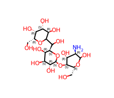 N[C@H]1C(O)O[C@H](CO)[C@@H](O[C@@H]2O[C@H](C(O)C3O[C@H](CO)[C@H](O)[C@H](O)[C@H]3O)[C@H](O)[C@H](O)[C@H]2O)[C@@H]1O